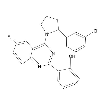 Oc1ccccc1-c1nc(N2CCCC2c2cccc(Cl)c2)c2cc(F)ccc2n1